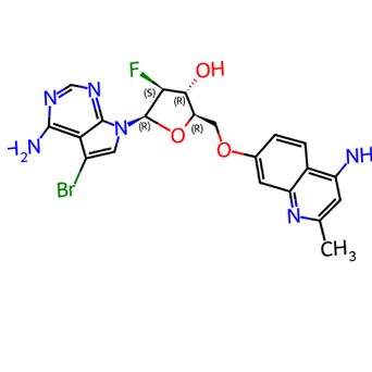 Cc1cc(N)c2ccc(OC[C@H]3O[C@@H](n4cc(Br)c5c(N)ncnc54)[C@@H](F)[C@@H]3O)cc2n1